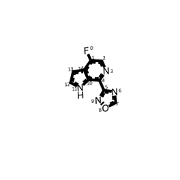 Fc1cnc(-c2ncon2)c2[nH]ccc12